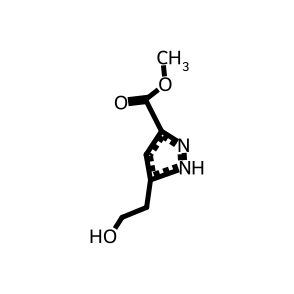 COC(=O)c1cc(CCO)[nH]n1